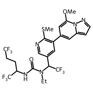 CCN(C(=O)NC(CCC(F)(F)F)C(F)(F)F)C(c1cnc(SC)c(-c2cc(OC)n3nccc3c2)c1)C(F)(F)F